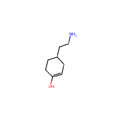 NCCC1CC=C(O)CC1